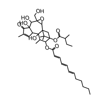 CCCCC/C=C/C=C/C=C/C(=O)OC1C(C)C2(O)C3C=C(C)C(=O)C3(O)C(O)C3(CO)OC3C23CC1(OC(=O)C(C)CC)C3(C)C